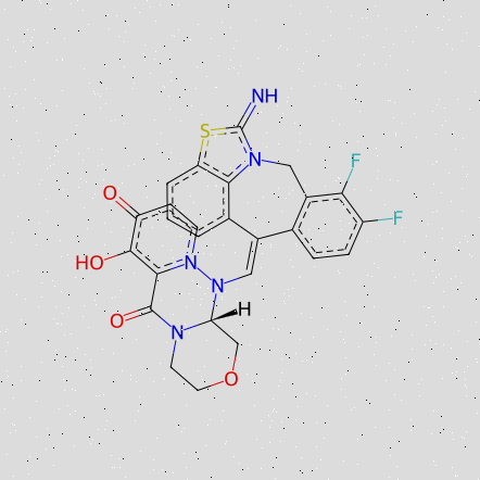 N=c1sc2cccc3c2n1Cc1c(ccc(F)c1F)/C3=C/N1[C@@H]2COCCN2C(=O)c2c(O)c(=O)ccn21